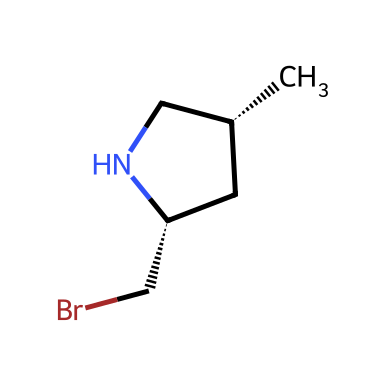 C[C@H]1CN[C@@H](CBr)C1